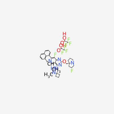 C#Cc1cccc2cccc(-c3ncc4c(NCC5(N(C)C)CCC5)nc(OC[C@@]56CCCN5C[C@H](F)C6)nc4c3F)c12.O=C(O)C(F)(F)F.O=C(O)C(F)(F)F